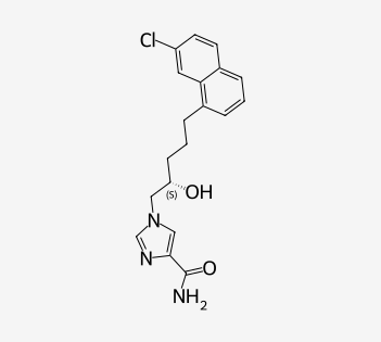 NC(=O)c1cn(C[C@@H](O)CCCc2cccc3ccc(Cl)cc23)cn1